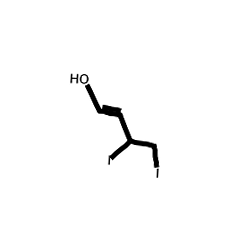 OC=CC(I)CI